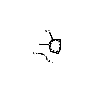 CCCc1ccccc1C.[SiH3]O[SiH3]